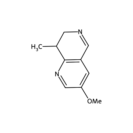 COc1cnc2c(c1)C=NCC2C